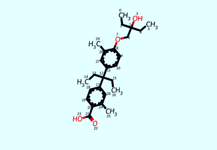 CCC(O)(CC)COc1ccc(C(CC)(CC)c2ccc(C(=O)O)c(C)c2)cc1C